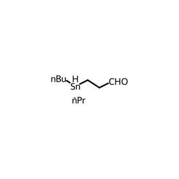 CCC[CH2][SnH]([CH2]CC)[CH2]CC=O